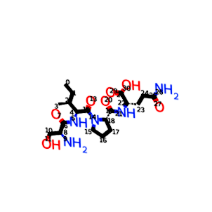 CC[C@H](C)[C@H](NC(=O)[C@@H](N)CO)C(=O)N1CCC[C@H]1C(=O)N[C@@H](CCC(N)=O)C(=O)O